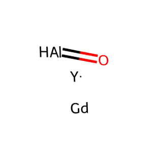 [Gd].[O]=[AlH].[Y]